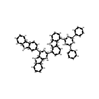 c1ccc(-c2nc(-c3ccccc3)nc(-c3cccc4oc5c(-c6nc(-c7ccc8c(c7)sc7ccccc78)c7sc8ccccc8c7n6)cccc5c34)n2)cc1